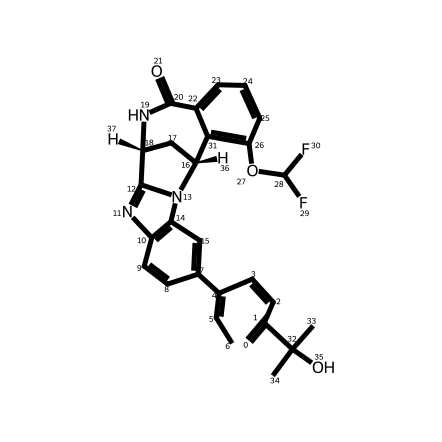 C=C(/C=C\C(=C/C)c1ccc2nc3n(c2c1)[C@@H]1C[C@H]3NC(=O)c2cccc(OC(F)F)c21)C(C)(C)O